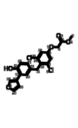 COC(=O)COc1cc(Cl)c(Cc2ccc(O)c(-c3ccoc3)c2)c(Cl)c1